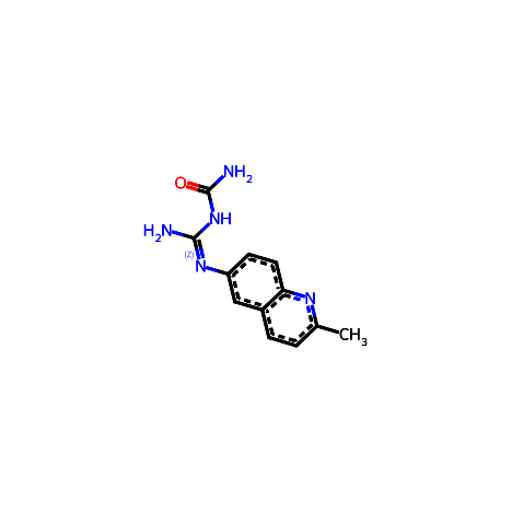 Cc1ccc2cc(/N=C(/N)NC(N)=O)ccc2n1